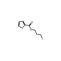 O=C(OCCCI)c1cccs1